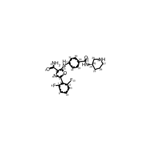 NC(=O)c1nc(-c2c(F)cccc2F)oc1Nc1ccc(C(=O)N[C@@H]2CCCNC2)cc1